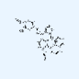 Cn1cncc1C(NCc1ccc(C#N)c(Cl)c1)c1ccc(C#N)c(-c2cccc3ccccc23)c1